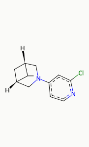 CC1[C@@H]2C[C@H]1CN(c1ccnc(Cl)c1)C2